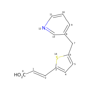 O=C(O)C=Cc1ccc(Cc2cccnc2)s1